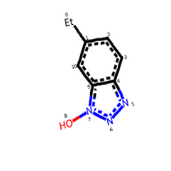 CCc1ccc2nnn(O)c2c1